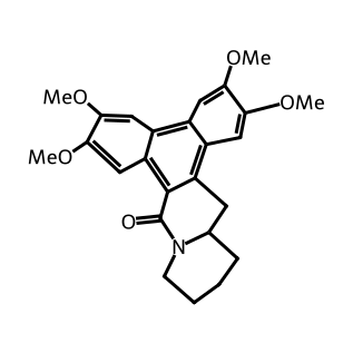 COc1cc2c3c(c4cc(OC)c(OC)cc4c2cc1OC)C(=O)N1CCCCC1C3